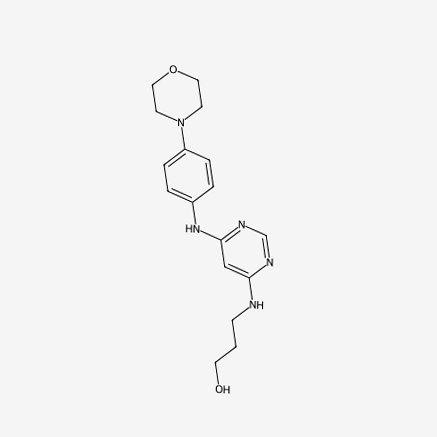 OCCCNc1cc(Nc2ccc(N3CCOCC3)cc2)ncn1